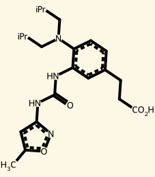 Cc1cc(NC(=O)Nc2cc(CCC(=O)O)ccc2N(CC(C)C)CC(C)C)no1